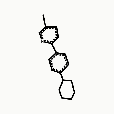 Cc1ccc(-c2ccc(C3CCCCC3)cc2)nc1